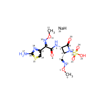 CON=C[C@@H]1[C@H](NC(=O)C(=NOC)c2csc(N)n2)C(=O)N1S(=O)(=O)O.[NaH]